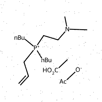 C=CC[P+](CCCC)(CCCC)CCN(C)C.CC(=O)O.CC(=O)[O-]